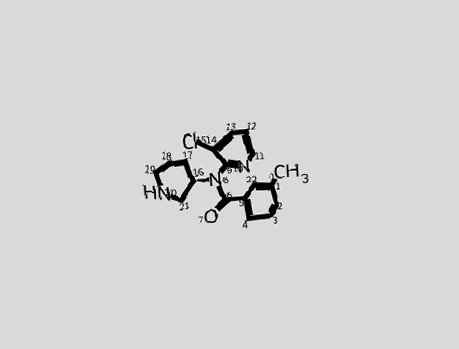 Cc1cccc(C(=O)N(c2ncccc2Cl)[C@@H]2CCCNC2)c1